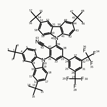 CC(C)(C)c1ccc2c(c1)c1cc(C(C)(C)C)ccc1n2-c1cc(-c2cc(C(F)(F)F)cc(C(F)(F)F)c2)cc(-n2c3ccc(C(C)(C)C)cc3c3cc(C(C)(C)C)ccc32)c1C#N